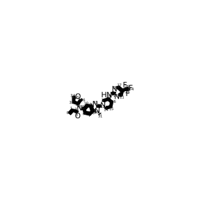 C=CC(=O)N(c1ccc2c(c1)nc(N1CCCC(Nc3ncc(C(F)(F)F)cn3)C1)n2C)C1CCOC1